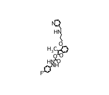 Cc1c(OC(=O)NNc2ccc(F)cc2)oc2cccc(OCCCNCc3cccnc3)c12